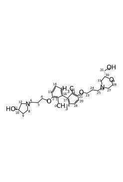 Cc1c(OCCCN2CC[C@@H](O)C2)cccc1-c1cccc(OCCCN2CCO[C@@H](CO)C2)c1C